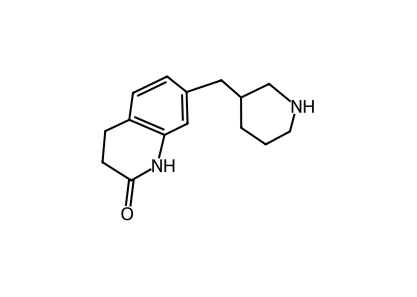 O=C1CCc2ccc(CC3CCCNC3)cc2N1